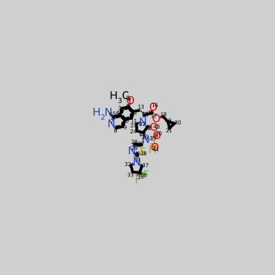 COc1cc2c(N)nccc2cc1C[C@H](C(=O)OCC1CC1)N1CC[C@H](N(c2cnc(N3CCC(F)(F)C3)s2)[SH](=O)=O)C1=O